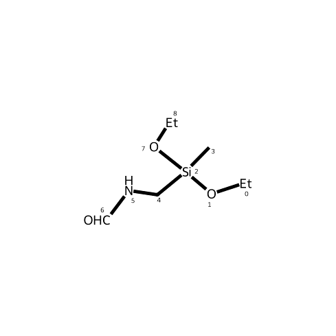 CCO[Si](C)(CNC=O)OCC